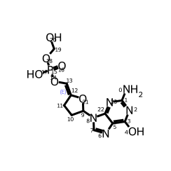 Nc1nc(O)c2ncn(C3CC/C(=C\OP(=O)(O)OCO)O3)c2n1